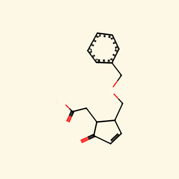 O=C(O)CC1C(=O)C=CC1COCc1ccccc1